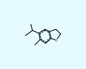 Cc1cc2c(cc1C(C)C)CCO2